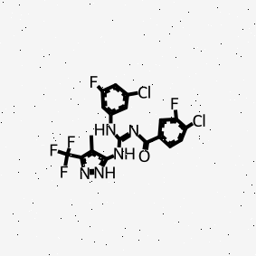 Cc1c(C(F)(F)F)n[nH]c1N/C(=N\C(=O)c1ccc(Cl)c(F)c1)Nc1cc(F)cc(Cl)c1